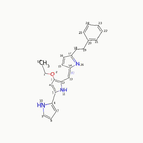 CCOc1cc(-c2ccc[nH]2)[nH]c1/C=C1\C=CC(CCc2ccccc2)=N1